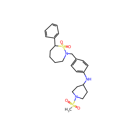 CS(=O)(=O)N1CCC(Nc2ccc(CN3CCCCC(c4ccccc4)S3(=O)=O)cc2)CC1